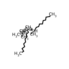 CCCCCCCCCC[SiH](C)O[Si](C)(CCCCCCCCCC)OO[Si](C)(C)C